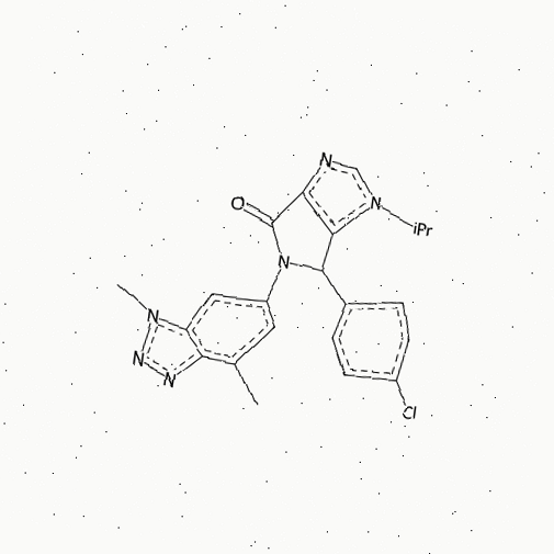 Cc1cc(N2C(=O)c3ncn(C(C)C)c3C2c2ccc(Cl)cc2)cc2c1nnn2C